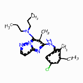 CCCN(CCC)c1c(C)c(Nc2cc(Cl)cc(C)c2C)nc2ccnn12